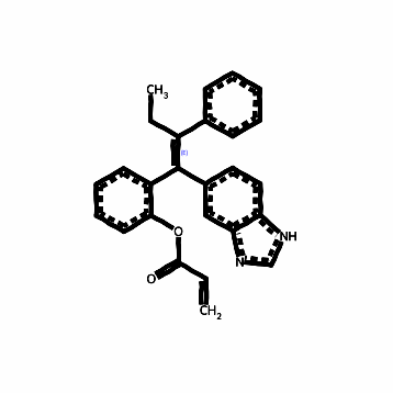 C=CC(=O)Oc1ccccc1/C(=C(\CC)c1ccccc1)c1ccc2[nH]cnc2c1